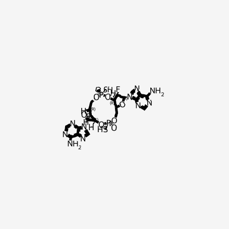 Nc1ncnc2c1ncn2[C@@H]1OC2CO[P@@](=O)(S)O[C@@H]3[C@@H](F)[C@@H](CO[P@@](=O)(S)O[C@H]2[C@H]1F)O[C@H]3n1cnc2c(N)ncnc21